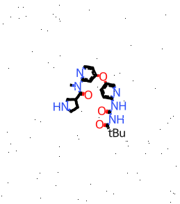 CN(C(=O)C1CCNC1)c1cc(Oc2ccc(NC(=O)NC(=O)C(C)(C)C)nc2)ccn1